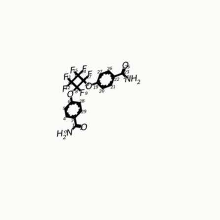 NC(=O)c1ccc(OC2(F)C(F)(F)C(F)(F)C2(F)Oc2ccc(C(N)=O)cc2)cc1